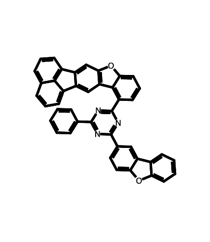 c1ccc(-c2nc(-c3ccc4oc5ccccc5c4c3)nc(-c3cccc4oc5cc6c(cc5c34)-c3cccc4cccc-6c34)n2)cc1